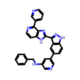 c1ccc(CNc2cncc(-c3ccc4[nH]nc(-c5nc6c(-c7cccnc7)nccc6[nH]5)c4c3)c2)cc1